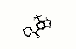 O=C(c1cc2c(c(C(F)(F)F)c1)OCO2)N1CCCCC1